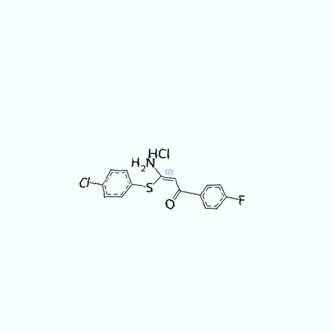 Cl.N/C(=C/C(=O)c1ccc(F)cc1)Sc1ccc(Cl)cc1